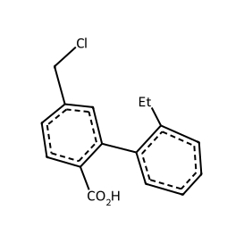 CCc1ccccc1-c1cc(CCl)ccc1C(=O)O